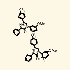 COc1ccc(C)c(N(CCc2ccc(C(F)(F)F)cc2)C(=O)C(N)c2ccccc2)c1.COc1cccc(N(CCc2ccc(C(F)(F)F)cc2)C(=O)C(N)c2ccccc2)c1